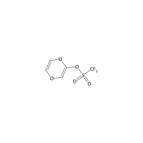 O=S(=O)(OC1=COC=CO1)C(F)(F)F